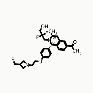 CC(=O)c1ccc2c(c1)C[C@H](C)N(CC(F)(F)CO)[C@H]2c1ccc(OCCN2CC(CF)C2)cc1